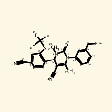 CC1=C(C#N)[C@@H](c2ccc(C#N)cc2SC(F)(F)F)N(C)C(=O)N1c1cccc(CF)c1